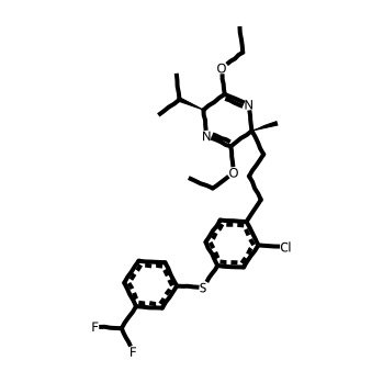 CCOC1=N[C@](C)(CCCc2ccc(Sc3cccc(C(F)F)c3)cc2Cl)C(OCC)=N[C@H]1C(C)C